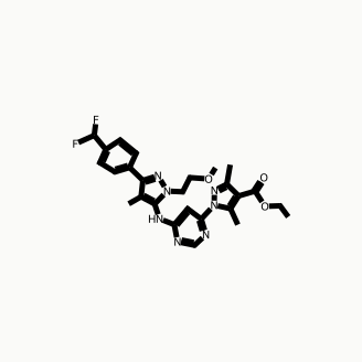 CCOC(=O)c1c(C)nn(-c2cc(Nc3c(C)c(-c4ccc(C(F)F)cc4)nn3CCOC)ncn2)c1C